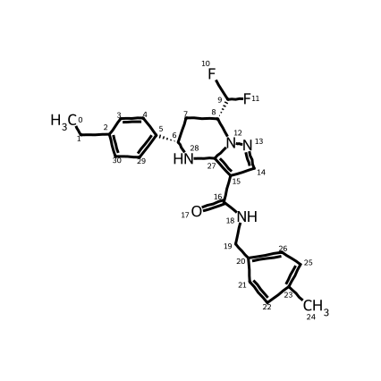 CCc1ccc([C@@H]2C[C@H](C(F)F)n3ncc(C(=O)NCc4ccc(C)cc4)c3N2)cc1